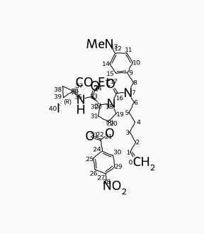 C=CCCCCCN(Cc1ccc(NC)cc1)C(=O)N1C[C@H](OC(=O)c2ccc([N+](=O)[O-])cc2)C[C@H]1C(=O)N[C@]1(C(=O)OCC)C[C@H]1I